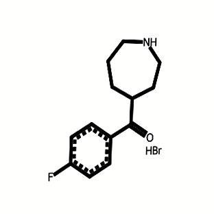 Br.O=C(c1ccc(F)cc1)C1CCCNCC1